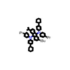 C=C(C)c1ccc2c(N(c3ccc(C(C)C)cc3)c3ccc(C4CCCCC4)cc3)c3cc(C(C)(C)C)ccc3c(N(c3ccc(C(C)C)cc3)c3ccc(C4CCCCC4)cc3)c2c1